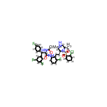 COC(=O)N[C@H](C(=O)Nc1cccc(F)c1CC[C@H]1CNC[C@H](C)N1S(=O)(=O)c1ccccc1Cl)[C@@H](c1ccc(F)cc1)c1cc(F)cc(F)c1